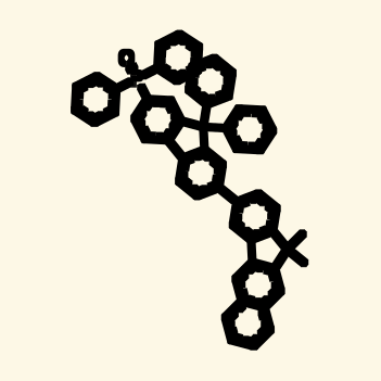 CC1(C)c2ccc(-c3ccc4c(c3)C(c3ccccc3)(c3ccccc3)c3cc(P(=O)(c5ccccc5)c5ccccc5)ccc3-4)cc2-c2cc3ccccc3cc21